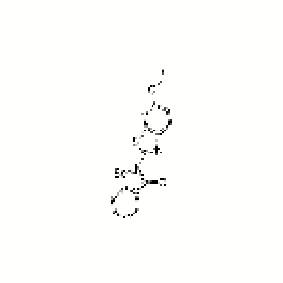 CCOc1ccc2nc(-n3[se]c4ccccc4c3=O)sc2c1